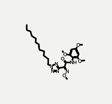 CCCCCCCCCCCCn1nnc(C(=NOC)C(=O)Nc2c(OC)cc(OC)cc2OC)n1